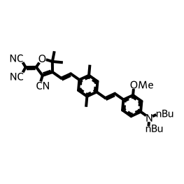 CCCCN(CCCC)c1ccc(/C=C/c2cc(C)c(/C=C/C3=C(C#N)C(=C(C#N)C#N)OC3(C)C)cc2C)c(OC)c1